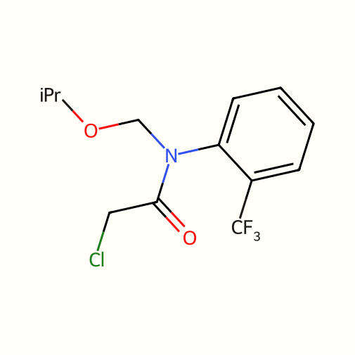 CC(C)OCN(C(=O)CCl)c1ccccc1C(F)(F)F